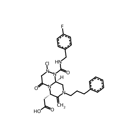 C=C1[C@H](CC(=O)O)N2C(=O)CN(Cl)N(C(=O)NCc3ccc(F)cc3)[C@H]2CN1CCCc1ccccc1